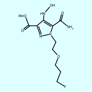 COC(=O)c1nn(CCOCCCF)c(C(N)=O)c1NO